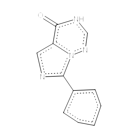 O=c1[nH]cnn2c(-c3ccccc3)ncc12